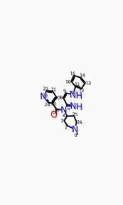 CN1CCC(N(C(=N)/C=C\Nc2ccccc2)C(=O)c2cccnc2)CC1